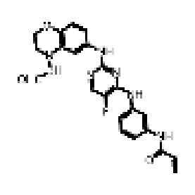 C=CC(=O)Nc1cccc(Nc2nc(Nc3ccc4c(c3)N(BC=O)CCO4)ncc2F)c1